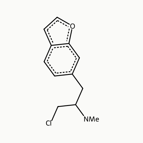 CNC(CCl)Cc1ccc2ccoc2c1